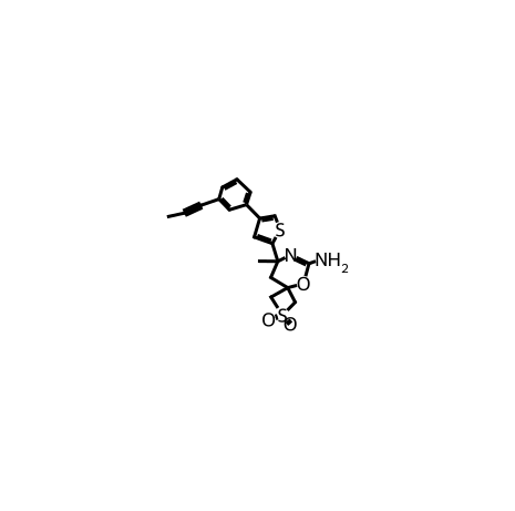 CC#Cc1cccc(-c2csc(C3(C)CC4(CS(=O)(=O)C4)OC(N)=N3)c2)c1